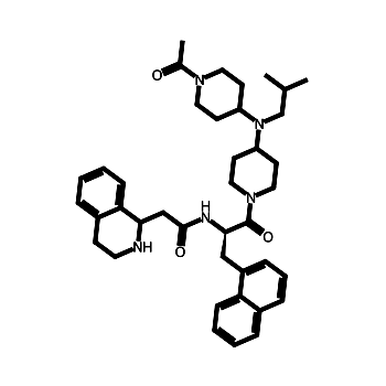 CC(=O)N1CCC(N(CC(C)C)C2CCN(C(=O)[C@@H](Cc3cccc4ccccc34)NC(=O)CC3NCCc4ccccc43)CC2)CC1